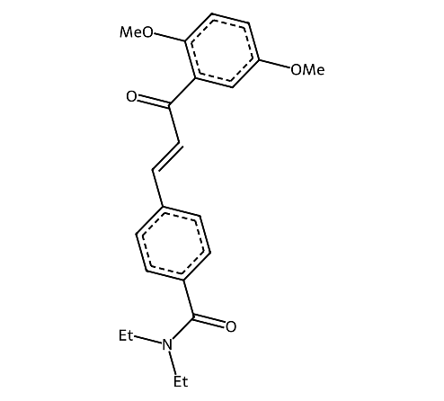 CCN(CC)C(=O)c1ccc(C=CC(=O)c2cc(OC)ccc2OC)cc1